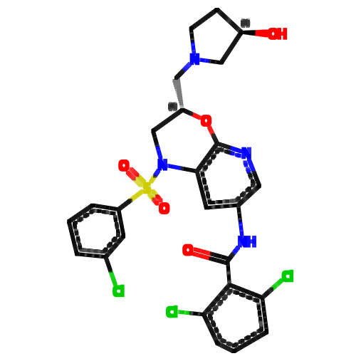 O=C(Nc1cnc2c(c1)N(S(=O)(=O)c1cccc(Cl)c1)C[C@H](CN1CC[C@@H](O)C1)O2)c1c(Cl)cccc1Cl